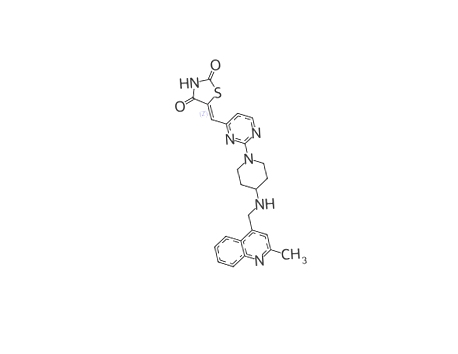 Cc1cc(CNC2CCN(c3nccc(/C=C4\SC(=O)NC4=O)n3)CC2)c2ccccc2n1